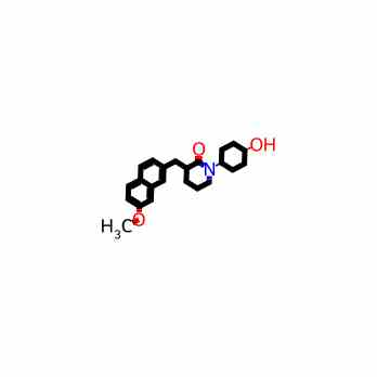 COc1ccc2ccc(CC3CCCN([C@H]4CC[C@@H](O)CC4)C3=O)cc2c1